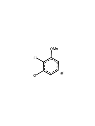 COc1cccc(Cl)c1Cl.F